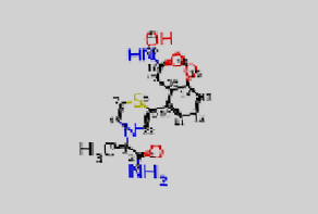 CC(C(N)=O)N1C=CSC(C2=CC=CC(=O)C2CC(=O)NO)=C1